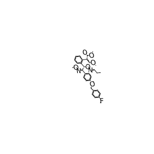 CCC=NOC(C(=NOC)c1ccc(OCc2ccc(F)cc2)cc1)c1ccccc1C(=COC)C(=O)OC